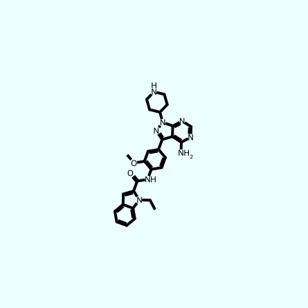 CCn1c(C(=O)Nc2ccc(-c3nn(C4CCNCC4)c4ncnc(N)c34)cc2OC)cc2ccccc21